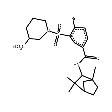 CCOC(=O)C1CCCN(S(=O)(=O)c2cc(C(=O)NC3C4(C)CCC(C4)C3(C)C)ccc2Br)C1